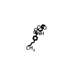 CCCCCc1ccc(C(=O)NC(=Cc2ccco2)C(=O)O)cc1